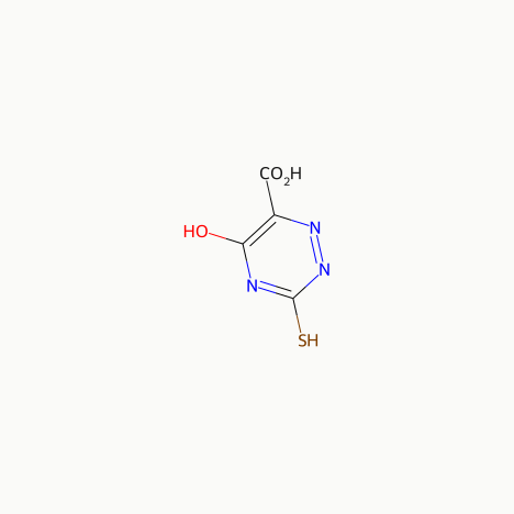 O=C(O)c1nnc(S)nc1O